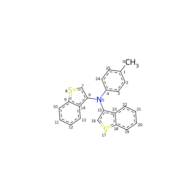 Cc1ccc(N(c2csc3ccccc23)c2csc3ccccc23)cc1